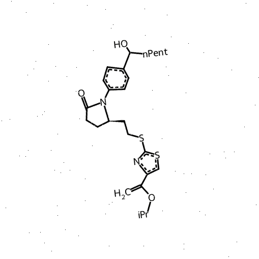 C=C(OC(C)C)c1csc(SCC[C@H]2CCC(=O)N2c2ccc(C(O)CCCCC)cc2)n1